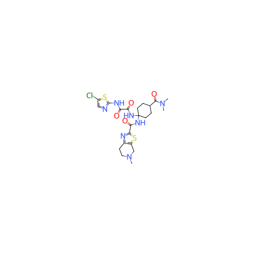 CN1CCc2nc(C(=O)NC3(NC(=O)C(=O)Nc4ncc(Cl)s4)CCC(C(=O)N(C)C)CC3)sc2C1